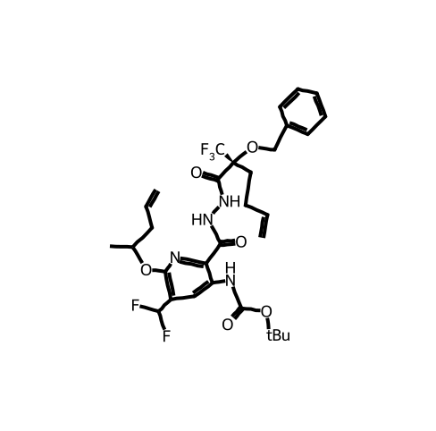 C=CCC[C@@](OCc1ccccc1)(C(=O)NNC(=O)c1nc(OC(C)CC=C)c(C(F)F)cc1NC(=O)OC(C)(C)C)C(F)(F)F